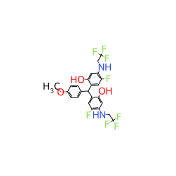 COc1ccc(C(c2cc(F)c(NCC(F)(F)F)cc2O)c2cc(F)c(NCC(F)(F)F)cc2O)cc1